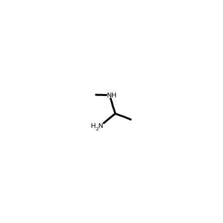 CNC(C)N